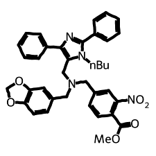 CCCCn1c(-c2ccccc2)nc(-c2ccccc2)c1CN(Cc1ccc2c(c1)OCO2)Cc1ccc(C(=O)OC)c([N+](=O)[O-])c1